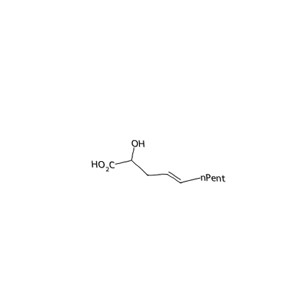 CCCCC/C=C/CC(O)C(=O)O